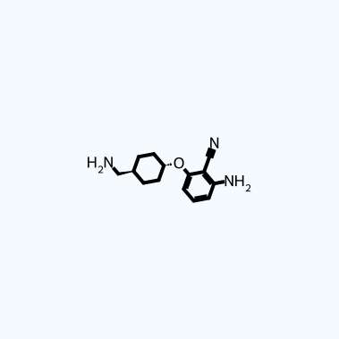 N#Cc1c(N)cccc1O[C@H]1CC[C@H](CN)CC1